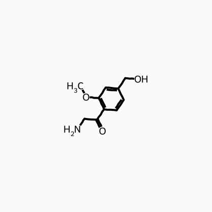 COc1cc(CO)ccc1C(=O)CN